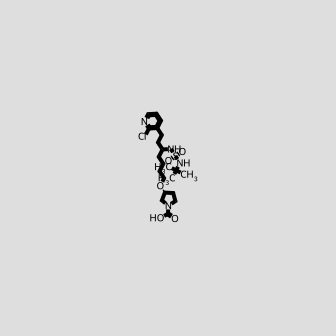 CC(C)(C)NS(=O)(=O)NC(CCCCO[C@@H]1CCN(C(=O)O)C1)CCc1cccnc1Cl